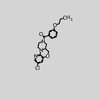 CCCOc1cccc(C(=O)N2CCN3c4ncc(Cl)cc4OCC3C2)c1